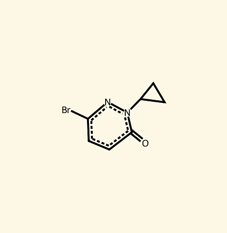 O=c1ccc(Br)nn1C1CC1